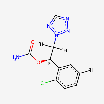 [2H]c1ccc(Cl)c([C@@H](OC(N)=O)C([2H])([2H])n2ncnn2)c1